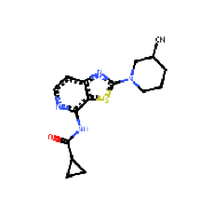 N#CC1CCCN(c2nc3ccnc(NC(=O)C4CC4)c3s2)C1